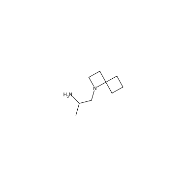 CC(N)CN1CCC12CCC2